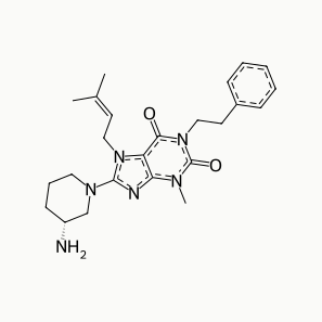 CC(C)=CCn1c(N2CCC[C@@H](N)C2)nc2c1c(=O)n(CCc1ccccc1)c(=O)n2C